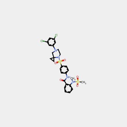 CN(c1ccccc1C(=O)Nc1ccc(S(=O)(=O)N2CCN(c3cc(Cl)cc(Cl)c3)CC23CC3)cc1)S(C)(=O)=O